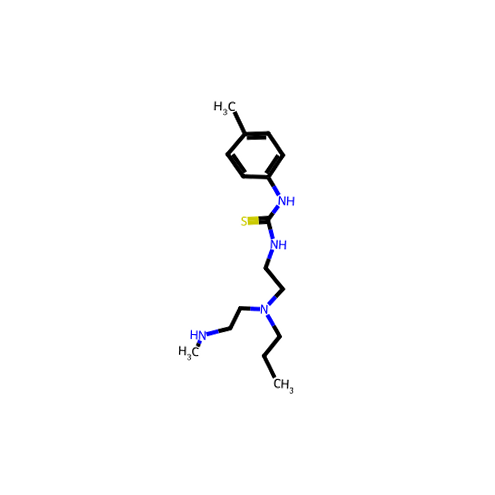 CCCN(CCNC)CCNC(=S)Nc1ccc(C)cc1